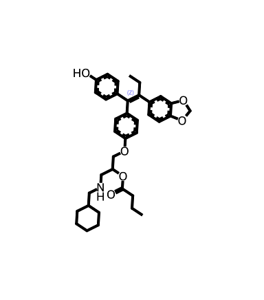 CCCC(=O)OC(CNCC1CCCCC1)COc1ccc(/C(=C(/CC)c2ccc3c(c2)OCO3)c2ccc(O)cc2)cc1